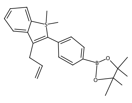 C=CCC1=C(c2ccc(B3OC(C)(C)C(C)(C)O3)cc2)S(C)(C)c2ccccc21